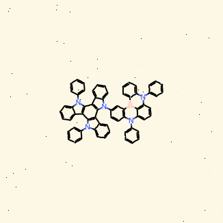 c1ccc(N2c3ccccc3B3c4cc(-n5c6ccccc6c6c7c(c8ccccc8n7-c7ccccc7)c7c(c8ccccc8n7-c7ccccc7)c65)ccc4N(c4ccccc4)c4cccc2c43)cc1